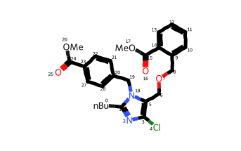 CCCCc1nc(Cl)c(COCc2ccccc2C(=O)OC)n1Cc1ccc(C(=O)OC)cc1